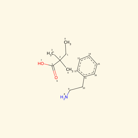 CCC(C)(C)C(=O)O.NCCc1ccccc1